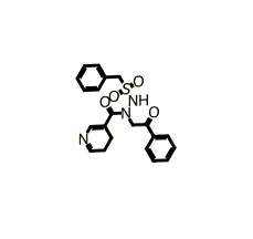 O=C(CN(NS(=O)(=O)Cc1ccccc1)C(=O)C1=CN=CCC1)c1ccccc1